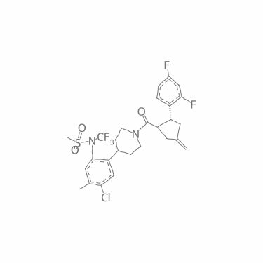 C=C1CC(C(=O)N2CCC(c3cc(Cl)c(C)cc3N(C(F)(F)F)S(C)(=O)=O)CC2)[C@H](c2ccc(F)cc2F)C1